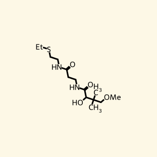 CCSCCNC(=O)CCNC(=O)C(O)C(C)(C)COC